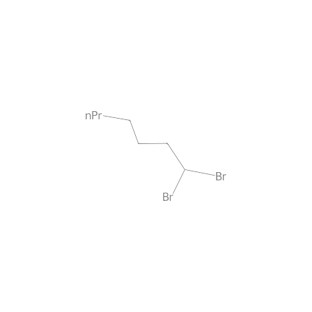 [CH2]CCCCCC(Br)Br